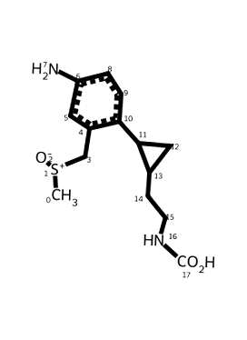 C[S+]([O-])Cc1cc(N)ccc1C1CC1CCNC(=O)O